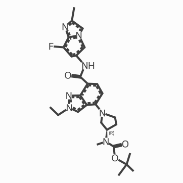 CCn1cc2c(N3CC[C@@H](N(C)C(=O)OC(C)(C)C)C3)ccc(C(=O)Nc3cc(F)c4nc(C)cn4c3)c2n1